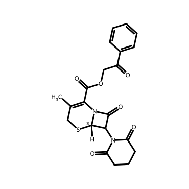 CC1=C(C(=O)OCC(=O)c2ccccc2)N2C(=O)C(N3C(=O)CCCC3=O)[C@@H]2SC1